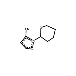 N#Cc1ccnn1C1CCCCO1